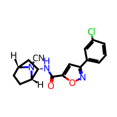 N#CN1[C@@H]2CC[C@H]1[C@@H](NC(=O)c1cc(-c3cccc(Cl)c3)no1)C2